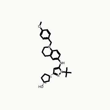 COc1ccc(CN2CCCc3cc(Nc4cc([C@H]5CC[C@@H](O)C5)nn4C(C)(C)C)ccc32)cc1